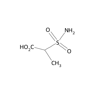 CC(C(=O)O)S(N)(=O)=O